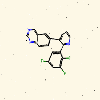 Fc1cc(F)c(F)c(-c2ncccc2-c2ccc3ncncc3c2)c1